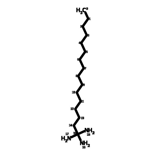 CCCCCCCCCCCCCCCC(N)(N)N